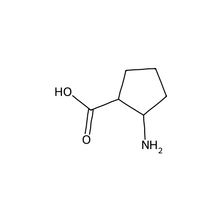 NC1CCCC1C(=O)O